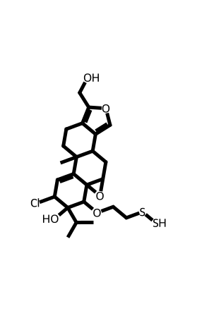 CC(C)C1(O)C(Cl)C=C2C3(C)CCc4c(coc4CO)C3CC3OC23C1OCCSS